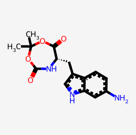 CC1(C)OC(=O)N[C@@H](Cc2c[nH]c3cc(N)ccc23)C(=O)O1